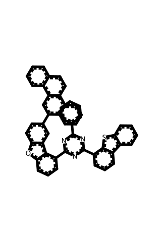 c1ccc(-c2nc(-c3cccc4c3sc3ccccc34)nc(-c3cccc4oc5ccc(-c6cc7c8ccccc8ccc7c7ccccc67)cc5c34)n2)cc1